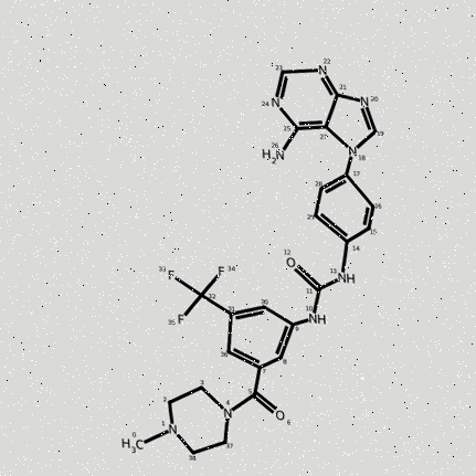 CN1CCN(C(=O)c2cc(NC(=O)Nc3ccc(-n4cnc5ncnc(N)c54)cc3)cc(C(F)(F)F)c2)CC1